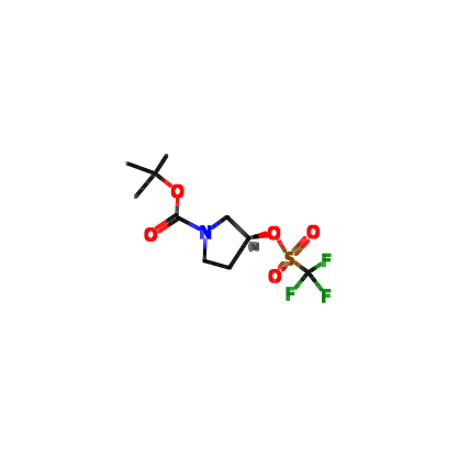 CC(C)(C)OC(=O)N1CC[C@H](OS(=O)(=O)C(F)(F)F)C1